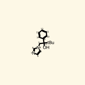 CC(C)(C)C(O)(Cn1ccnc1)c1ccccc1